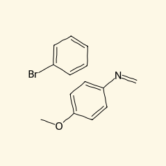 Brc1ccccc1.C=Nc1ccc(OC)cc1